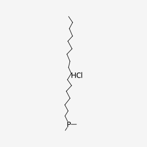 CCCCCCCCCCCCCCCCCP(C)C.Cl